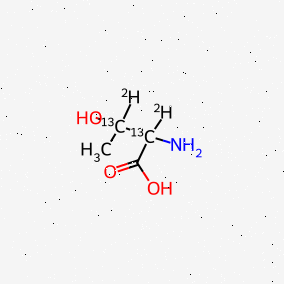 [2H][13C](C)(O)[13C]([2H])(N)C(=O)O